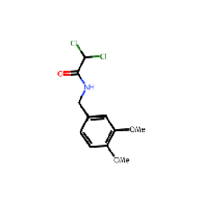 COc1ccc(CNC(=O)C(Cl)Cl)cc1OC